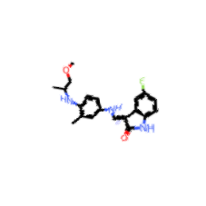 COCC(C)Nc1ccc(N/C=C2/C(=O)Nc3ccc(F)cc32)cc1C